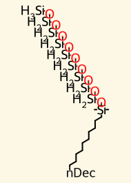 CCCCCCCCCCCCCCCCCCCC[Si](C)(C)O[SiH2]O[SiH2]O[SiH2]O[SiH2]O[SiH2]O[SiH2]O[SiH2]O[SiH2]O[SiH3]